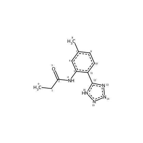 CCC(=O)Nc1cc(C)ccc1-c1nnn[nH]1